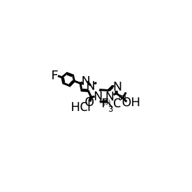 C[C@H]1CN(C(=O)c2cc(-c3ccc(F)cc3)nn2C)Cc2cnc([C@@](C)(O)C(F)(F)F)n21.Cl